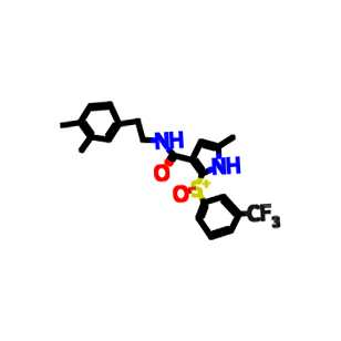 Cc1cc(C(=O)NCCc2ccc(C)c(C)c2)c([S+]([O-])c2cccc(C(F)(F)F)c2)[nH]1